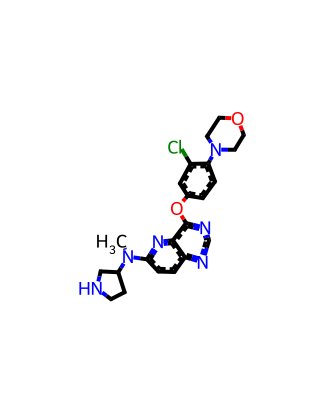 CN(c1ccc2ncnc(Oc3ccc(N4CCOCC4)c(Cl)c3)c2n1)C1CCNC1